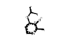 Cc1nccc(SC(C)C)c1Cl